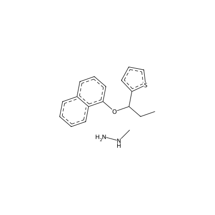 CCC(Oc1cccc2ccccc12)c1cccs1.CNN